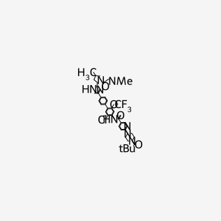 CNCC(=O)N1CC(C)CC1c1nc(-c2ccc(-c3cc(Cl)c(NC(=O)c4ccc(N5CCN(C(=O)C(C)(C)C)CC5)nc4)cc3OC(F)(F)F)cc2)c[nH]1